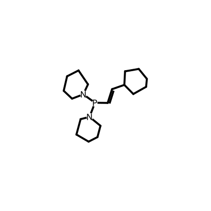 C(=CP(N1CCCCC1)N1CCCCC1)C1CCCCC1